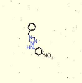 O=[N+]([O-])c1ccc(NN2CN(Cc3ccccc3)C=N2)cc1